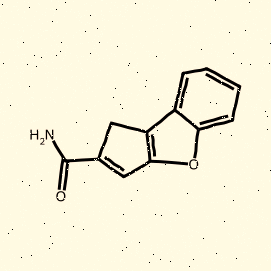 NC(=O)C1=Cc2oc3ccccc3c2C1